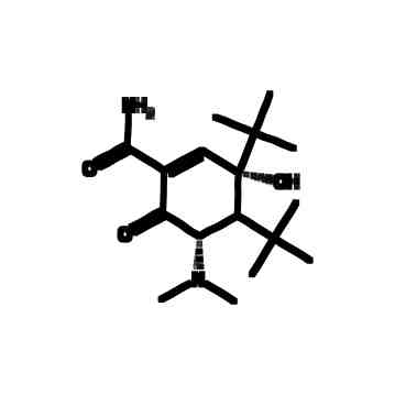 CN(C)[C@@H]1C(=O)C(C(N)=O)=C[C@@](O)(C(C)(C)C)C1C(C)(C)C